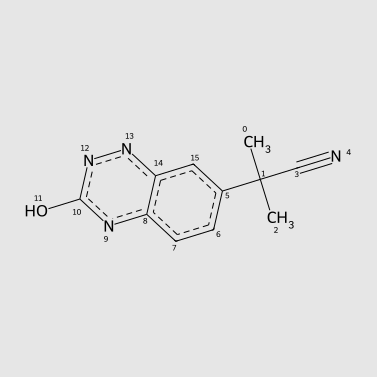 CC(C)(C#N)c1ccc2nc(O)nnc2c1